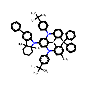 Cc1cc2c3c(c1)[Si](c1ccccc1)(c1ccccc1)c1cccc4c1B3c1c(cc(N3c5ccc(-c6ccccc6)cc5C5(C)CCCCC35C)cc1N2c1ccc(C(C)(C)C)cc1)N4c1ccc(C(C)(C)C)cc1